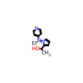 CCN(c1ccncc1)n1cccc1C(C)O